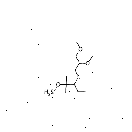 CCC(OCC(COC)OC)C(C)(C)O[SiH3]